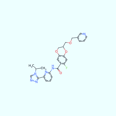 CC(C)n1cnnc1-c1cccc(NC(=O)c2cc3c(cc2F)OC(COCc2cccnc2)CO3)n1